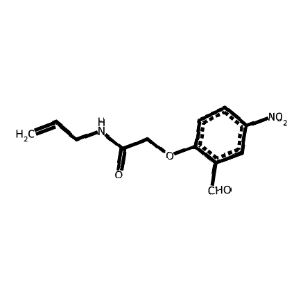 C=CCNC(=O)COc1ccc([N+](=O)[O-])cc1C=O